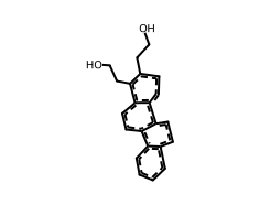 OCCc1ccc2c(ccc3c4ccccc4ccc23)c1CCO